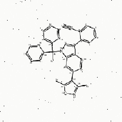 C#Cc1ccccc1-c1cn(C(C)(c2ccccn2)c2ccccn2)c2cc(-c3c(C)noc3C)cnc12